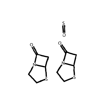 O=C1CC2SCCN12.O=C1CC2SCCN12.O=S